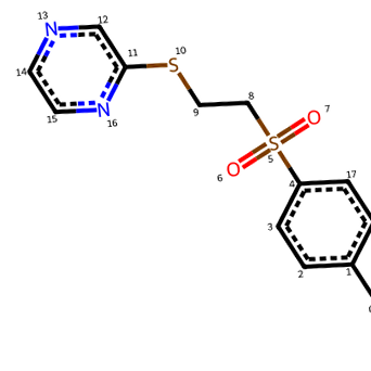 Cc1ccc(S(=O)(=O)CCSc2cnccn2)cc1